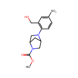 CC(C)(C)OC(=O)N1CC2CC1CN2c1ccc([N+](=O)[O-])cc1CO